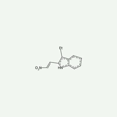 CCc1c(C=C[N+](=O)[O-])[nH]c2ccccc12